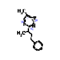 CC1=C\C=N\N=C(C(C)CCc2ccccc2)/N=C\1